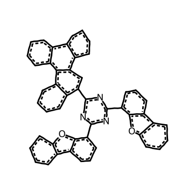 c1ccc2c(c1)oc1c(-c3nc(-c4cc5c6ccccc6c6ccccc6c5c5ccccc45)nc(-c4cccc5c4oc4ccccc45)n3)cccc12